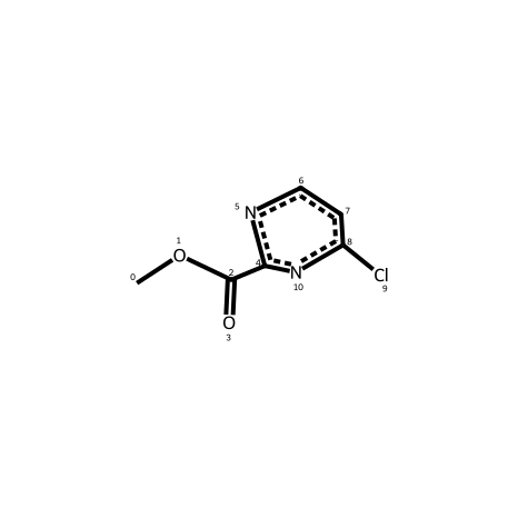 COC(=O)c1nccc(Cl)n1